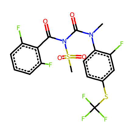 CN(C(=O)N(C(=O)c1c(F)cccc1F)S(C)(=O)=O)c1ccc(SC(F)(F)F)cc1F